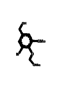 COCOc1c(Br)cc(CO)cc1OC